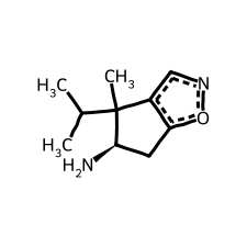 CC(C)C1(C)c2cnoc2C[C@H]1N